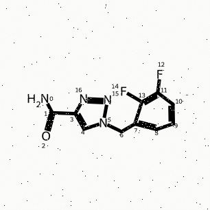 NC(=O)c1cn(Cc2cccc(F)c2F)nn1